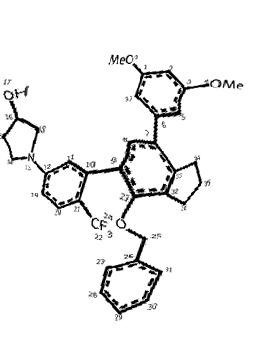 COc1cc(OC)cc(-c2cc(-c3cc(N4CCC(O)C4)ccc3C(F)(F)F)c(OCc3ccccc3)c3c2CCC3)c1